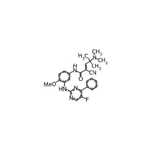 COc1ccc(NC(=O)C(C#N)=CC(C)(C)N(C)C)cc1Nc1ncc(F)c(-c2ccccc2)n1